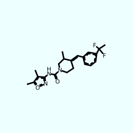 Cc1onc(NC(=O)N2CC/C(=C\c3cccc(C(C)(F)F)c3)C(C)C2)c1C